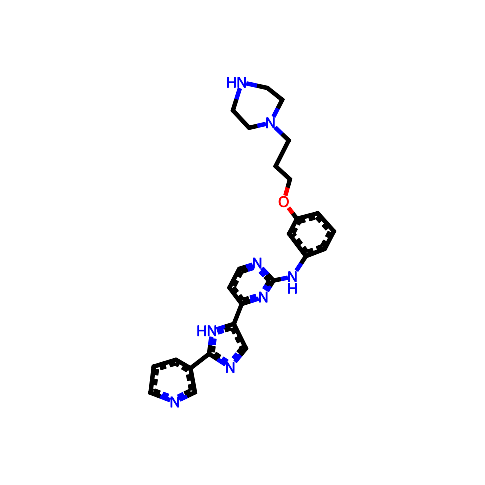 c1cc(Nc2nccc(-c3cnc(-c4cccnc4)[nH]3)n2)cc(OCCCN2CCNCC2)c1